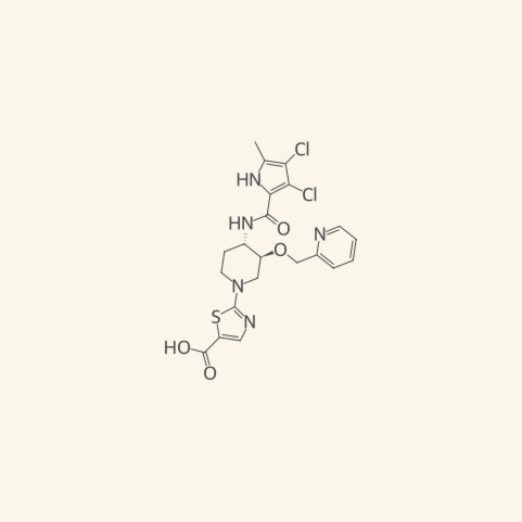 Cc1[nH]c(C(=O)N[C@H]2CCN(c3ncc(C(=O)O)s3)C[C@@H]2OCc2ccccn2)c(Cl)c1Cl